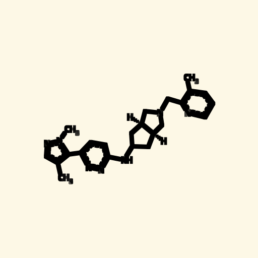 Cc1cccnc1CN1C[C@H]2CC(Nc3ccc(-c4c(C)cnn4C)nn3)C[C@H]2C1